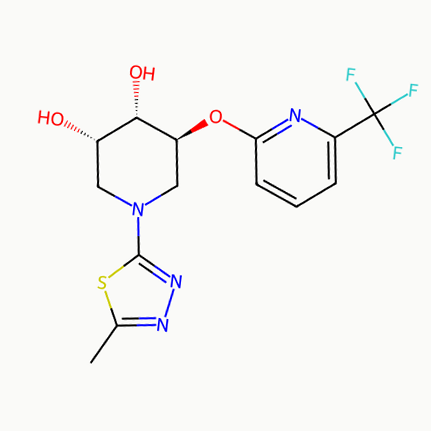 Cc1nnc(N2C[C@H](Oc3cccc(C(F)(F)F)n3)[C@@H](O)[C@@H](O)C2)s1